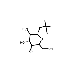 CC(C)(C)C[C@H]1OC(CO)[C@@H](O)[C@H](O)C1N